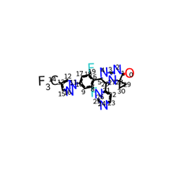 O=C1N=C2N=C(c3c(F)cc(-n4cc(C(F)(F)F)cn4)cc3F)C(c3ccncn3)N2C12CC2